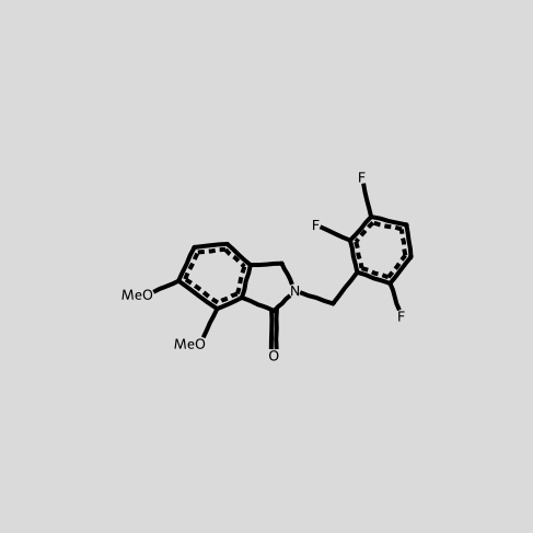 COc1ccc2c(c1OC)C(=O)N(Cc1c(F)ccc(F)c1F)C2